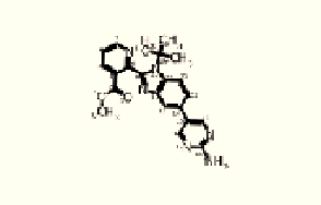 COC(=O)c1cccnc1-c1nc2cc(-c3cnc(N)nc3)ccc2n1C(C)(C)C